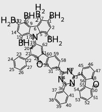 Bc1cc(B)c2c(c1B)c1c(B)c(B)cc(B)c1n2-c1cc(-c2ccccc2)c2oc3cc(-c4nc(-c5ccccc5)nc(-c5cccc6oc7ccccc7c56)n4)ccc3c2c1